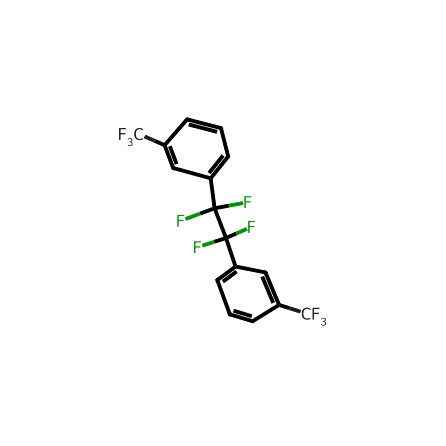 FC(F)(F)c1cccc(C(F)(F)C(F)(F)c2cccc(C(F)(F)F)c2)c1